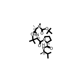 CC(C)[C@@H](C)NC(=O)[C@@H]1CCCN1C(=O)[C@@H](NC(=O)[C@H](C)N(C)C(=O)OC(C)(C)C)C(C)(C)C